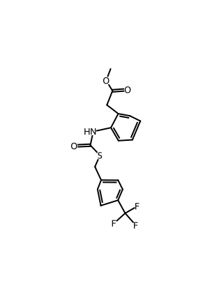 COC(=O)Cc1ccccc1NC(=O)SCc1ccc(C(F)(F)F)cc1